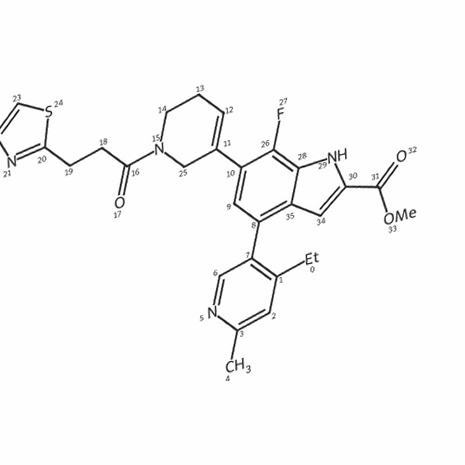 CCc1cc(C)ncc1-c1cc(C2=CCCN(C(=O)CCc3nccs3)C2)c(F)c2[nH]c(C(=O)OC)cc12